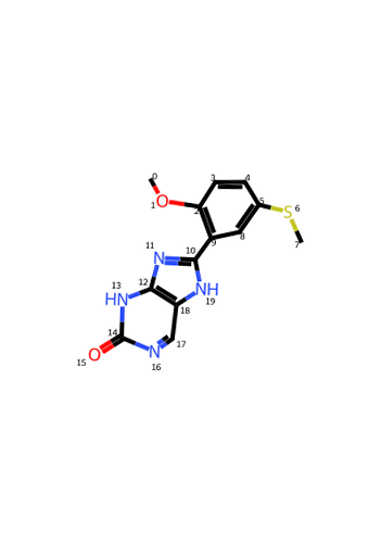 COc1ccc(SC)cc1-c1nc2[nH]c(=O)ncc2[nH]1